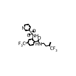 C=C(CCNC(=O)c1ccc(C(F)(F)F)cc1NS(=O)(=O)c1cccnc1)C(F)(F)F